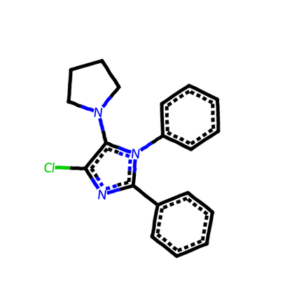 Clc1nc(-c2ccccc2)n(-c2ccccc2)c1N1CCCC1